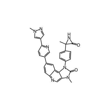 Cn1cc(-c2ccc(-c3ccc4ncc5c(c4c3)n(-c3ccc(C4(C)NC4=O)cc3)c(=O)n5C)cn2)cn1